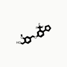 COc1cc(COc2ccc(C3CCCC3)c(C(F)(F)F)c2)ccc1CO